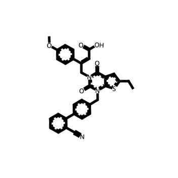 CCc1cc2c(=O)n(CC(=CC(=O)O)c3ccc(OC)cc3)c(=O)n(Cc3ccc(-c4ccccc4C#N)cc3)c2s1